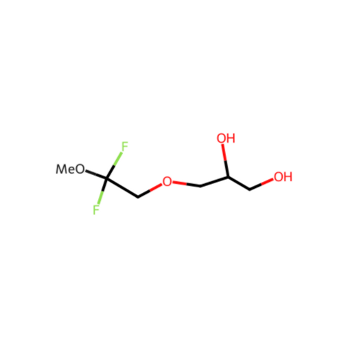 COC(F)(F)COCC(O)CO